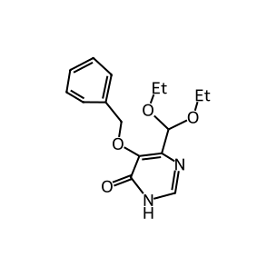 CCOC(OCC)c1nc[nH]c(=O)c1OCc1ccccc1